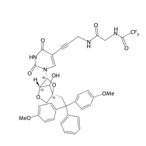 COc1ccc(C(C[C@]23CO[C@@H](C2O)[C@H](n2cc(C#CCNC(=O)CNC(=O)C(F)(F)F)c(=O)[nH]c2=O)O3)(c2ccccc2)c2ccc(OC)cc2)cc1